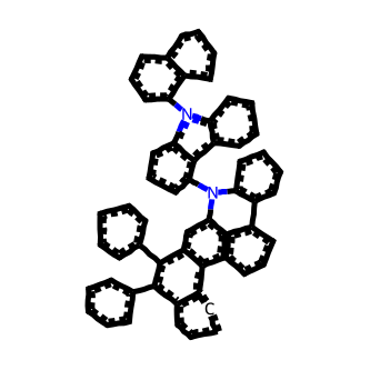 c1ccc(-c2ccccc2N(c2ccc3c(c2)c(-c2ccccc2)c(-c2ccccc2)c2ccccc23)c2cccc3c2c2ccccc2n3-c2cccc3ccccc23)cc1